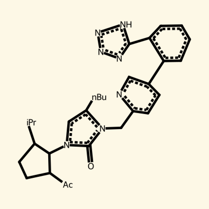 CCCCc1cn(C2C(C(C)=O)CCC2C(C)C)c(=O)n1Cc1ccc(-c2ccccc2-c2nnn[nH]2)cn1